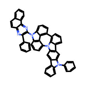 c1ccc(-c2nc3ccc4ccccc4c3nc2-n2c3cccc4c5cccc6c7cc8c(cc7n(c7cccc2c7c43)c56)c2ccccc2n8-c2ccccc2)cc1